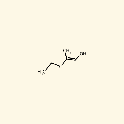 CCO/C(C)=C/O